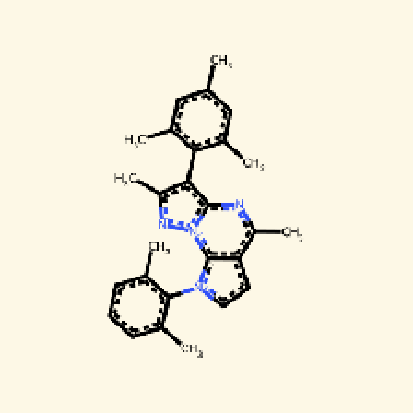 Cc1cc(C)c(-c2c(C)nn3c2nc(C)c2ccn(-c4c(C)cccc4C)c23)c(C)c1